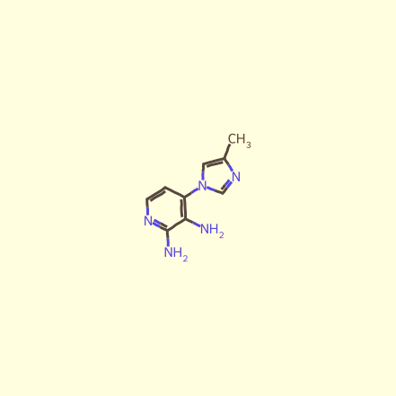 Cc1cn(-c2ccnc(N)c2N)cn1